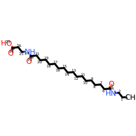 CCCNC(=O)CCCCCCCCCCCCCCCCC(=O)NCCC(=O)O